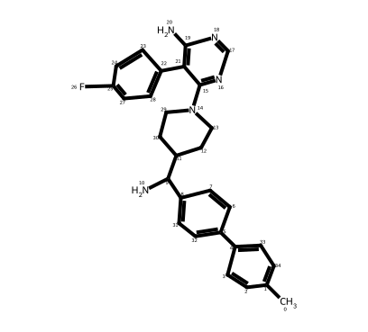 Cc1ccc(-c2ccc(C(N)C3CCN(c4ncnc(N)c4-c4ccc(F)cc4)CC3)cc2)cc1